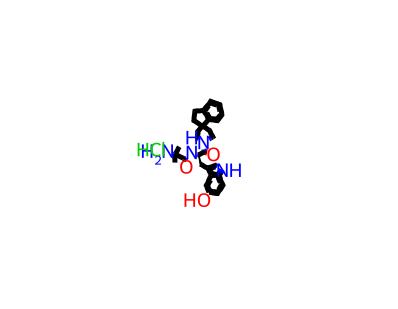 CC(C)(N)C(=O)N[C@H](Cc1c[nH]c2ccc(O)cc12)C(=O)N1CCC2(CCc3ccccc32)CC1.Cl